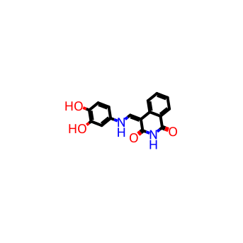 O=C1NC(=O)c2ccccc2C1=CNc1ccc(O)c(O)c1